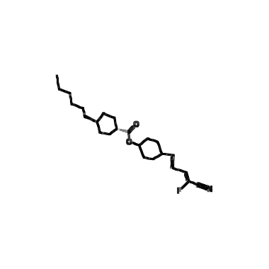 CCCCCC[C@H]1CC[C@H](C(=O)OC2CCC(/C=C/C=C(F)C#N)CC2)CC1